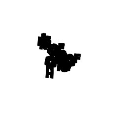 Cc1nnc(-c2ccc(C(=O)N(c3nccc4cc(F)cc(C)c34)[C@@H]3CCCNC3)c(F)c2)s1